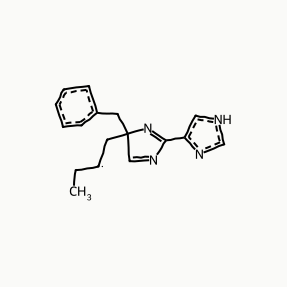 CC[CH]CC1(Cc2ccccc2)C=NC(c2c[nH]cn2)=N1